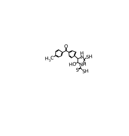 Cc1ccc(C(=O)c2ccc(C(NC(=S)S)C(O)NC(=S)S)cc2)cc1